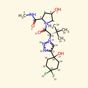 CNC(=O)C1CC(O)CN1C(=O)[C@@H](n1cc(C2(O)CCC(F)(F)CC2)nn1)C(C)(C)C